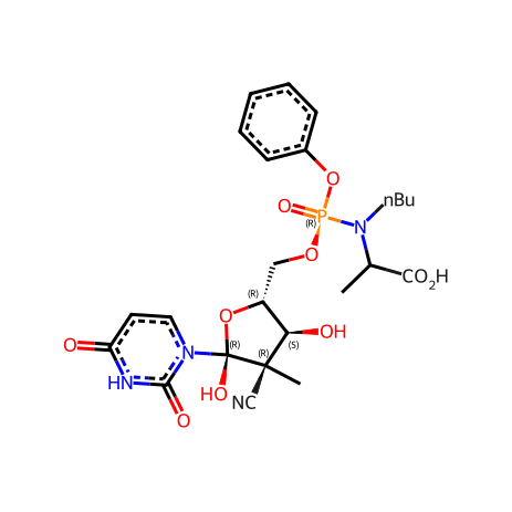 CCCCN(C(C)C(=O)O)[P@@](=O)(OC[C@H]1O[C@@](O)(n2ccc(=O)[nH]c2=O)[C@](C)(C#N)[C@@H]1O)Oc1ccccc1